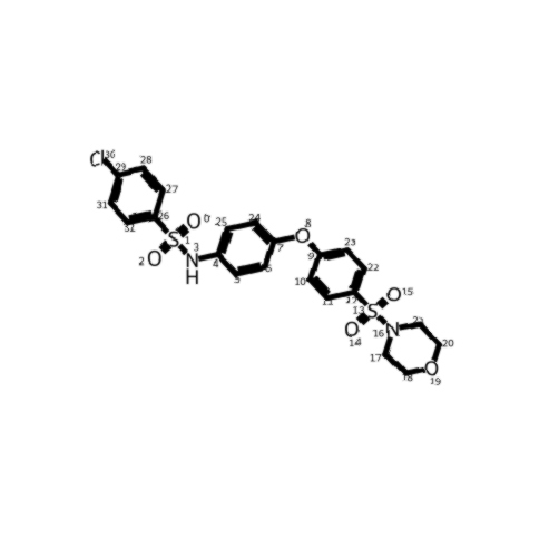 O=S(=O)(Nc1ccc(Oc2ccc(S(=O)(=O)N3CCOCC3)cc2)cc1)c1ccc(Cl)cc1